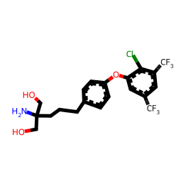 NC(CO)(CO)CCCc1ccc(Oc2cc(C(F)(F)F)cc(C(F)(F)F)c2Cl)cc1